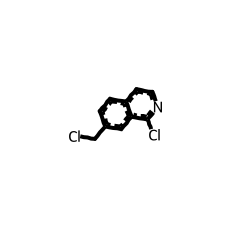 ClCc1ccc2ccnc(Cl)c2c1